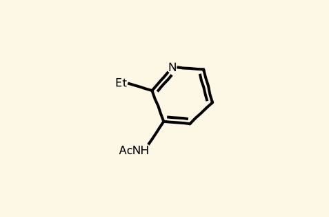 CCc1ncccc1NC(C)=O